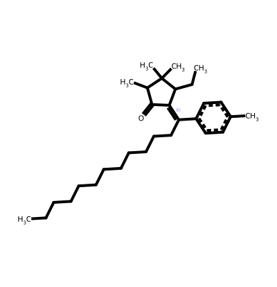 CCCCCCCCCCCC/C(=C1\C(=O)C(C)C(C)(C)C1CC)c1ccc(C)cc1